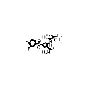 CC(C)(C)C(O)Nc1sc(S(=O)(=O)c2ccc(F)c(F)c2)cc1C(N)=O